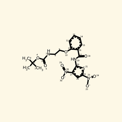 CC(C)(C)OC(=O)NCCOc1ccccc1C(=O)Nc1sc([N+](=O)[O-])cc1[N+](=O)[O-]